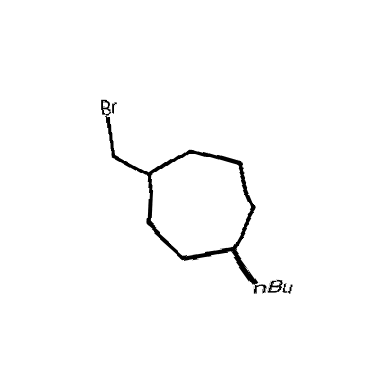 CCCCC1CCCC(CBr)CC1